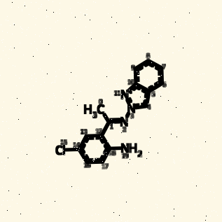 C/C(=N\n1cc2ccccc2n1)c1cc(Cl)ccc1N